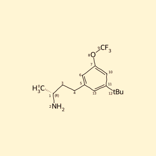 C[C@@H](N)CCc1cc(OC(F)(F)F)cc(C(C)(C)C)c1